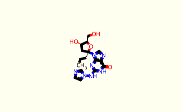 CCC[C@]1(n2cnc3c(=O)[nH]c(Nn4ccnc4)nc32)C[C@H](O)[C@@H](CO)O1